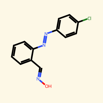 ON=Cc1ccccc1N=Nc1ccc(Cl)cc1